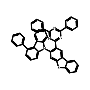 c1ccc(-c2nc(-c3ccccc3)nc(-c3cc4c(cc3-n3c5ccccc5c5c(-c6ccccc6)cccc53)sc3ccccc34)n2)cc1